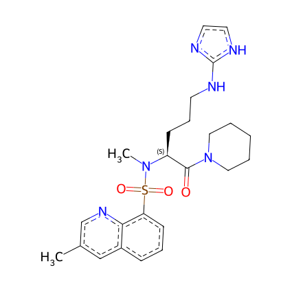 Cc1cnc2c(S(=O)(=O)N(C)[C@@H](CCCNc3ncc[nH]3)C(=O)N3CCCCC3)cccc2c1